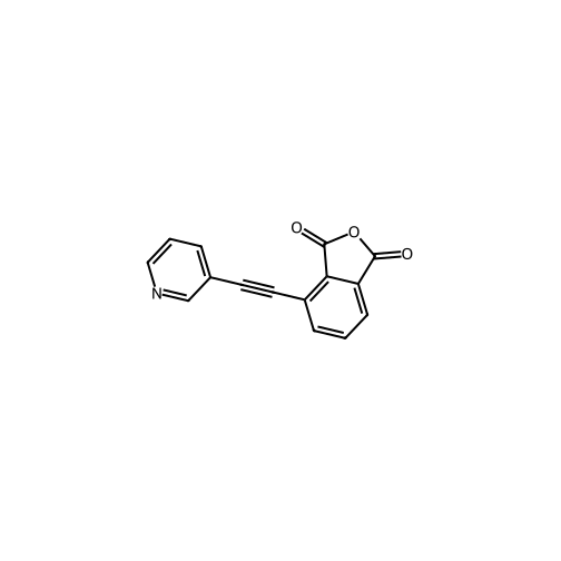 O=C1OC(=O)c2c(C#Cc3cccnc3)cccc21